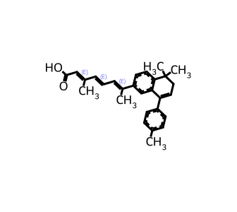 CC(/C=C/C=C(\C)c1ccc2c(c1)C(c1ccc(C)cc1)=CCC2(C)C)=C\C(=O)O